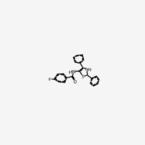 O=C(NC1=C(c2ccccc2)NC(c2ccccc2)S1)c1ccc(F)cc1